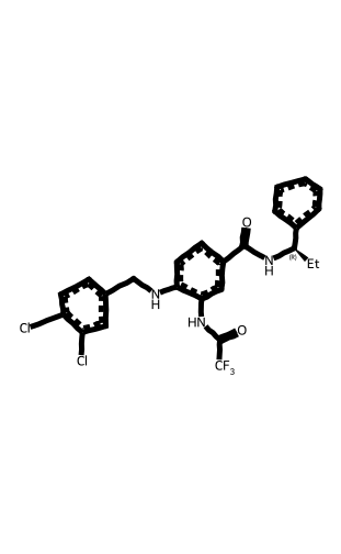 CC[C@@H](NC(=O)c1ccc(NCc2ccc(Cl)c(Cl)c2)c(NC(=O)C(F)(F)F)c1)c1ccccc1